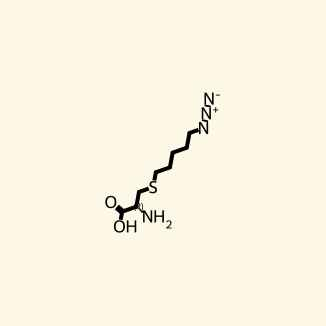 [N-]=[N+]=NCCCCCSC[C@H](N)C(=O)O